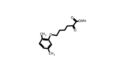 COC(=O)C(=O)CCCCOc1cc(C)ccc1C